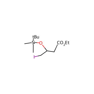 CCOC(=O)CC(CI)O[Si](C)(C)C(C)(C)C